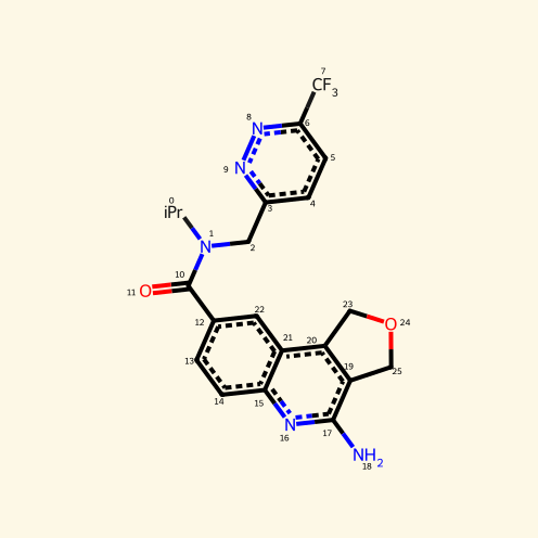 CC(C)N(Cc1ccc(C(F)(F)F)nn1)C(=O)c1ccc2nc(N)c3c(c2c1)COC3